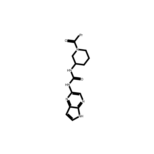 CC(C)C(=O)N1CCCC(NC(=O)Nc2cnc3[nH]ccc3n2)C1